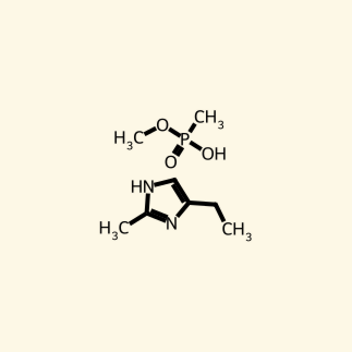 CCc1c[nH]c(C)n1.COP(C)(=O)O